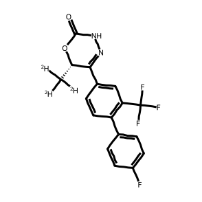 [2H]C([2H])([2H])[C@@H]1OC(=O)NN=C1c1ccc(-c2ccc(F)cc2)c(C(F)(F)F)c1